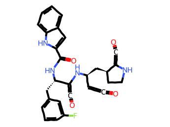 O=C=C[C@H](C[C@@H]1CCNC1=C=O)NC(=C=O)[C@H](Cc1cccc(F)c1)NC(=O)c1cc2ccccc2[nH]1